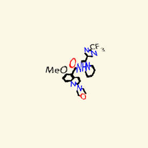 COc1ccc2nc(N3CCOCC3)ccc2c1C(=O)NCC(c1cnc(C(F)(F)F)nc1)N1CCCCC1